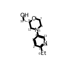 CCc1ccc(N2CCO[C@@H](CO)C2)cn1